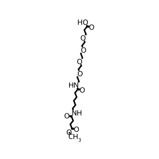 COC(=O)CCC(=O)NCCCCCC(=O)NCCOCCOCCOCCOCCC(=O)O